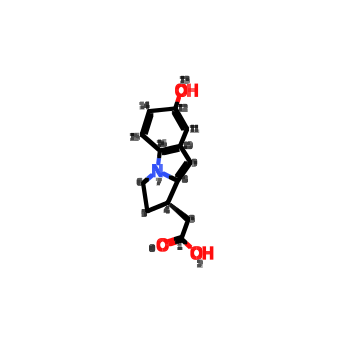 O=C(O)C[C@H]1CCn2c1cc1cc(O)ccc12